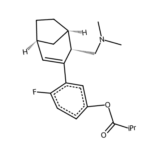 CC(C)C(=O)Oc1ccc(F)c(C2=C[C@H]3CC[C@H](C3)[C@@H]2CN(C)C)c1